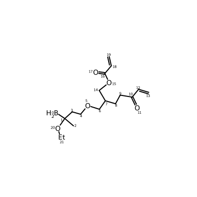 BC(C)(CCOCC(CCC(=O)C=C)COC(=O)C=C)OCC